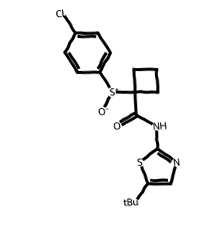 CC(C)(C)c1cnc(NC(=O)C2([S+]([O-])c3ccc(Cl)cc3)CCC2)s1